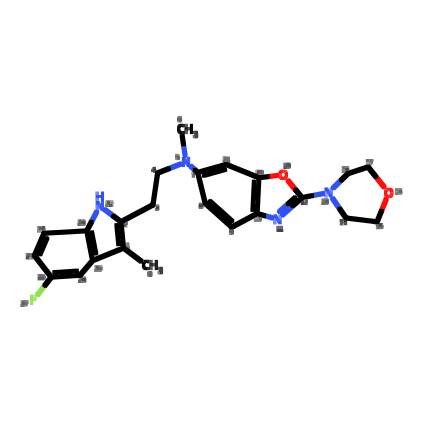 Cc1c(CCN(C)c2ccc3nc(N4CCOCC4)oc3c2)[nH]c2ccc(F)cc12